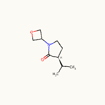 CC(C)[C@@H]1CCN(C2COC2)C1=O